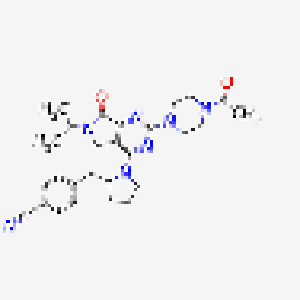 CC(=O)N1CCN(c2nc3c(c(N4CCCC4Cc4ccc(C#N)cc4)n2)CN(C(C)C)C3=O)CC1